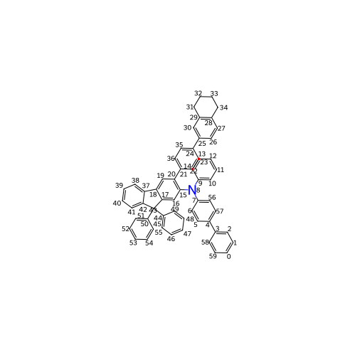 c1ccc(-c2ccc(N(c3ccccc3)c3cc4c(cc3-c3ccc(-c5ccc6c(c5)CCCC6)cc3)-c3ccccc3C4(c3ccccc3)c3ccccc3)cc2)cc1